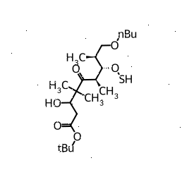 CCCCOC[C@H](C)[C@H](OS)[C@@H](C)C(=O)C(C)(C)C(O)CC(=O)OC(C)(C)C